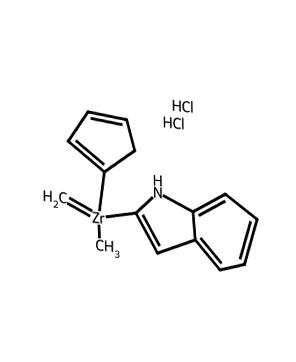 Cl.Cl.[CH2]=[Zr]([CH3])([C]1=CC=CC1)[c]1cc2ccccc2[nH]1